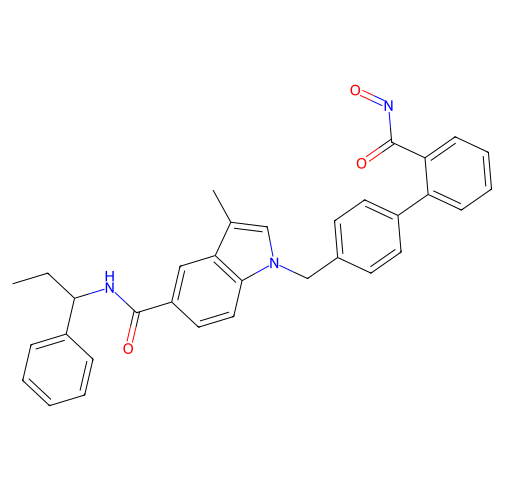 CCC(NC(=O)c1ccc2c(c1)c(C)cn2Cc1ccc(-c2ccccc2C(=O)N=O)cc1)c1ccccc1